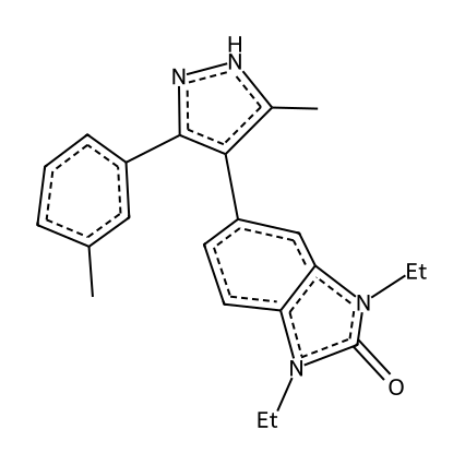 CCn1c(=O)n(CC)c2cc(-c3c(-c4cccc(C)c4)n[nH]c3C)ccc21